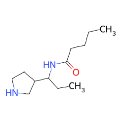 CCCCC(=O)NC(CC)C1CCNC1